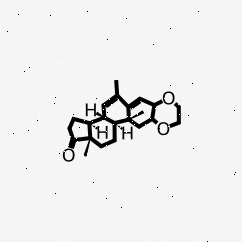 CC1=C[C@@H]2[C@H](CC[C@]3(C)C(=O)CC[C@@H]23)[C@@]2(C)CC3OCCOC3C=C12